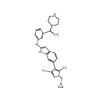 Cc1nn(CC2CC2)c(C)c1-c1ccc2nc(Nc3cc(C(C)N4CCNCC4)ccn3)[nH]c2c1